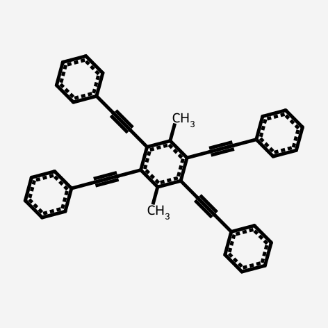 Cc1c(C#Cc2ccccc2)c(C#Cc2ccccc2)c(C)c(C#Cc2ccccc2)c1C#Cc1ccccc1